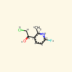 Cc1nc(F)ccc1C(=O)CCl